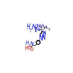 CC(N=C(N)N)c1cn(-c2ccc(C[C@H](N)C(=O)O)cc2)nn1